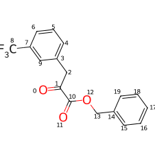 O=C(Cc1cccc(C(F)(F)F)c1)C(=O)OCc1ccccc1